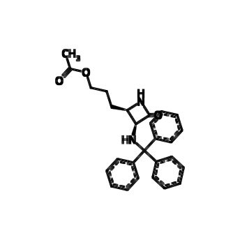 CC(=O)OCCC[C@H]1NC(=O)[C@H]1NC(c1ccccc1)(c1ccccc1)c1ccccc1